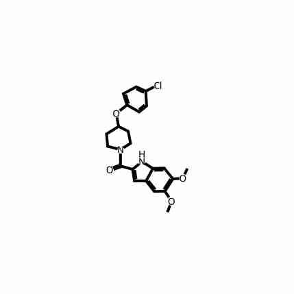 COc1cc2cc(C(=O)N3CCC(Oc4ccc(Cl)cc4)CC3)[nH]c2cc1OC